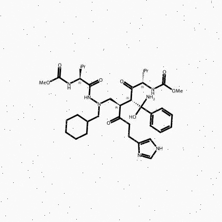 COC(=O)N[C@H](C(=O)NN(CC1CCCCC1)C[C@H](C(=O)CCc1c[nH]cn1)[C@H](C(=O)[C@@H](NC(=O)OC)C(C)C)C(N)(O)c1ccccc1)C(C)C